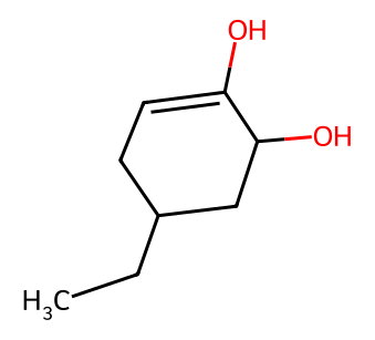 CCC1CC=C(O)C(O)C1